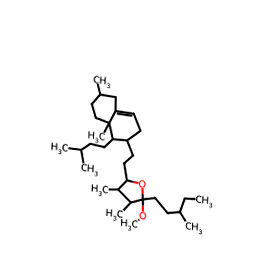 CCC(C)CCC1(OC)OC(CCC2CC=C3CC(C)CCC3(C)C2CCC(C)C)C(C)C1C